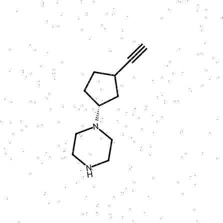 C#CC1CC[C@@H](N2CCNCC2)C1